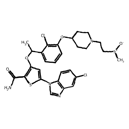 CC(Oc1cc(-n2cnc3cc(Cl)ccc32)sc1C(N)=O)c1cccc(OC2CCN(CC[S+](C)[O-])CC2)c1Cl